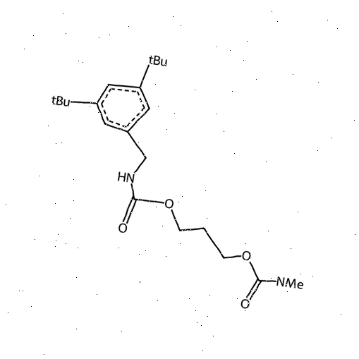 CNC(=O)OCCCOC(=O)NCc1cc(C(C)(C)C)cc(C(C)(C)C)c1